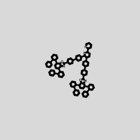 c1ccc(-c2ccccc2-c2ccc(-c3ccccc3-c3ccccc3)c3oc(-c4ccc(-c5ccc(-c6ccc(-c7ccccn7)nc6-c6ccc(-c7ccc(-c8nc9c(-c%10ccccc%10-c%10ccccc%10)ccc(-c%10ccccc%10-c%10ccccc%10)c9o8)cc7)cc6)cc5)cc4)nc23)cc1